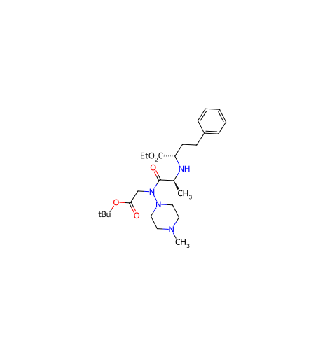 CCOC(=O)[C@H](CCc1ccccc1)N[C@@H](C)C(=O)N(CC(=O)OC(C)(C)C)N1CCN(C)CC1